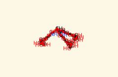 CC(COCCC(=O)NCCOCCOCCOC1=C(CO)C(O)[C@H](O)C(CO)O1)(COCCC(=O)NCCOCCOCCO[C@H]1OC(CO)[C@@H](O)C(O)C1O)COCCC(=O)NCCOCCOCCO[C@H]1OC(CO)[C@@H](O)C(O)C1O